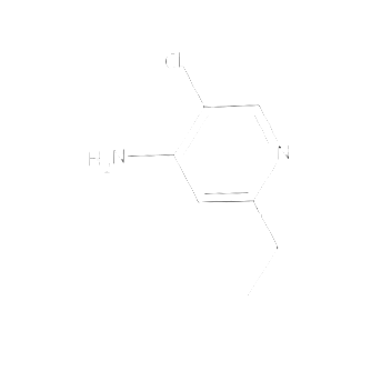 CCc1cc(N)c(Cl)cn1